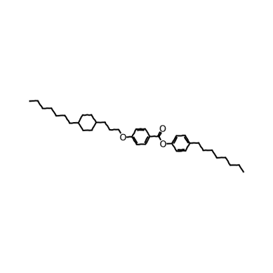 CCCCCCCCc1ccc(OC(=O)c2ccc(OCCCC3CCC(CCCCCCC)CC3)cc2)cc1